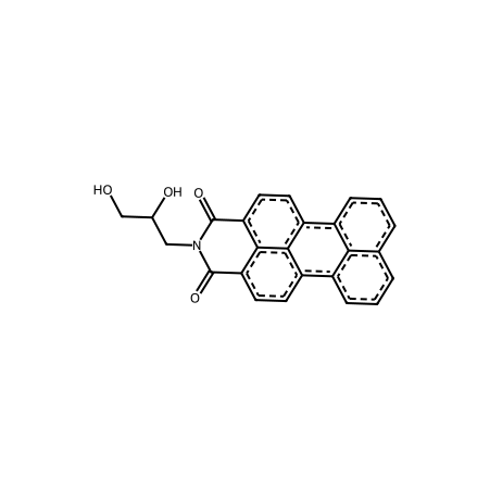 O=C1c2ccc3c4cccc5cccc(c6ccc(c2c36)C(=O)N1CC(O)CO)c54